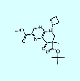 COC(=O)c1cnc2c(n1)C(=O)C(C)(C(=O)OC(C)(C)C)CN2C1CCC1